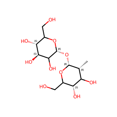 C[C@@H]1C(O)[C@H](O)C(CO)O[C@@H]1O[C@H]1OC(CO)[C@@H](O)[C@H](O)C1O